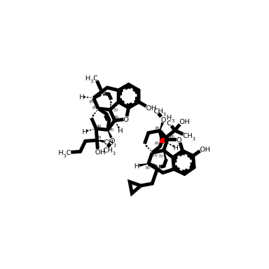 CCC[C@@](C)(O)[C@H]1C[C@@]23C=C[C@]1(OC)[C@@H]1Oc4c(O)ccc5c4[C@@]12CCN(C)[C@@H]3C5.CO[C@]12CC[C@@]3(C[C@@H]1C(C)(C)O)[C@H]1Cc4ccc(O)c5c4[C@@]3(CCN1CC1CC1)[C@H]2O5